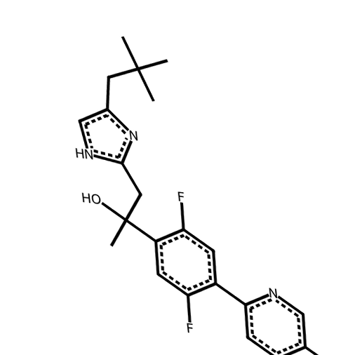 CC(C)(C)Cc1c[nH]c(CC(C)(O)c2cc(F)c(-c3ccc(F)cn3)cc2F)n1